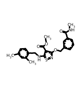 CNC(=O)c1cccc(COc2nsc(NCc3ccc(C)cc3C)c2C(=O)OC)c1